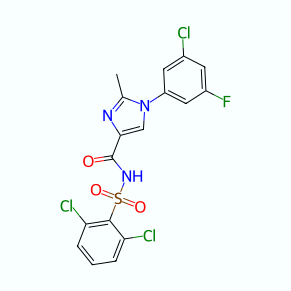 Cc1nc(C(=O)NS(=O)(=O)c2c(Cl)cccc2Cl)cn1-c1cc(F)cc(Cl)c1